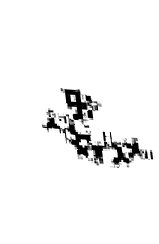 CC(=O)n1nc2c(c1NC(=O)C1([Si](C)(C)C)CCC1)CN(C(=O)N[C@H](CC(C)(C)O)C(C)C)C2(C)C